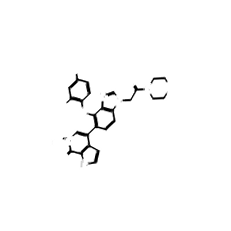 Cn1cc(-c2ccc3c(ncn3CC(=O)N3CCOCC3)c2Oc2ccc(F)cc2F)c2cc[nH]c2c1=O